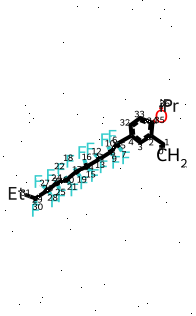 C=Cc1cc(C(F)(F)C(F)(F)C(F)(F)C(F)(F)C(F)(F)C(F)(F)C(F)(F)C(F)(F)C(F)CC)ccc1OC(C)C